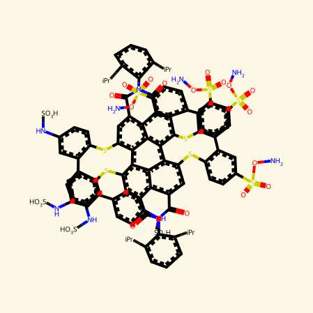 CC(C)c1cccc(C(C)C)c1N1C(=O)c2cc(Sc3ccc(NS(=O)(=O)O)cc3-c3ccc(NS(=O)(=O)O)cc3)c3c4c(Sc5ccc(NS(=O)(=O)O)cc5-c5ccc(NS(=O)(=O)O)cc5)cc5c6c(cc(Sc7ccc(S(=O)(=O)ON)cc7-c7ccc(S(=O)(=O)ON)cc7)c(c7c(Sc8ccc(S(=O)(=O)ON)cc8-c8ccc(S(=O)(=O)ON)cc8)cc(c2c37)C1=O)c64)C(=O)N(c1c(C(C)C)cccc1C(C)C)C5=O